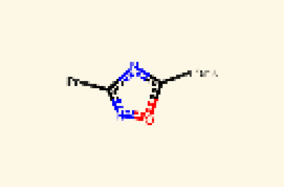 CCCC(C)c1nc(C(C)C)no1